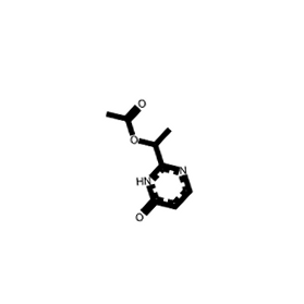 CC(=O)OC(C)c1nccc(=O)[nH]1